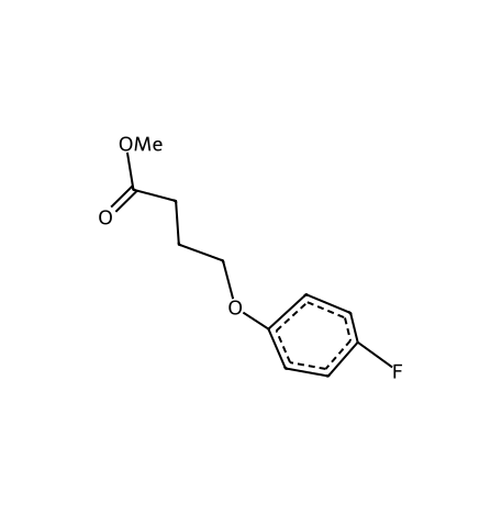 COC(=O)CCCOc1ccc(F)cc1